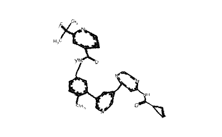 Cc1ccc(NC(=O)c2ccnc(C(C)(C)F)c2)cc1-c1cncc(-c2cc(NC(=O)C3CC3)ncn2)c1